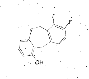 Oc1cccc2c1Cc1ccc(F)c(F)c1CS2